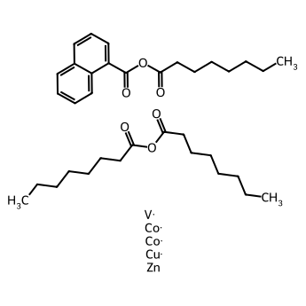 CCCCCCCC(=O)OC(=O)CCCCCCC.CCCCCCCC(=O)OC(=O)c1cccc2ccccc12.[Co].[Co].[Cu].[V].[Zn]